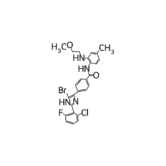 COCCNc1cc(C)ccc1NC(=O)c1ccc(-c2nc(-c3c(F)cccc3Cl)[nH]c2Br)cc1